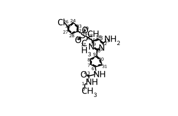 CCNC(=O)Nc1ccc(-c2nc(N)cc(C(C)(C)S(=O)(=O)c3ccc(Cl)cc3)n2)cc1